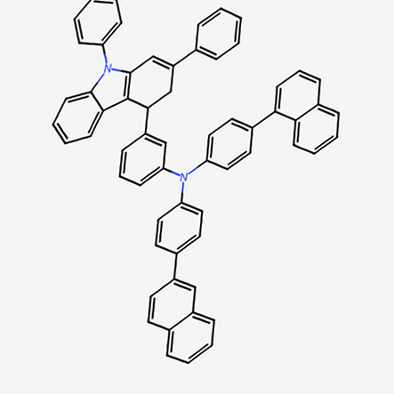 C1=C(c2ccccc2)CC(c2cccc(N(c3ccc(-c4ccc5ccccc5c4)cc3)c3ccc(-c4cccc5ccccc45)cc3)c2)c2c1n(-c1ccccc1)c1ccccc21